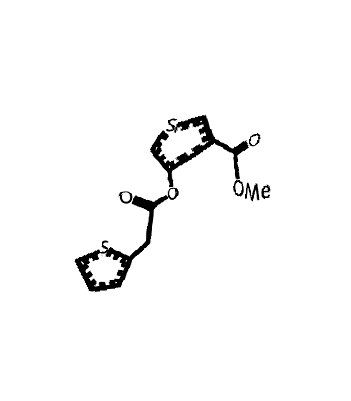 COC(=O)c1cscc1OC(=O)Cc1cccs1